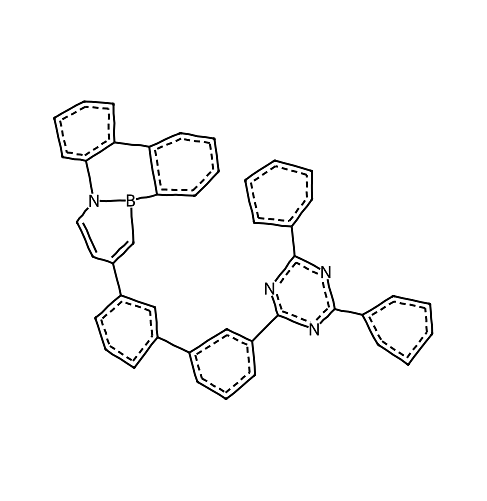 C1=CN2B(C=C1c1cccc(-c3cccc(-c4nc(-c5ccccc5)nc(-c5ccccc5)n4)c3)c1)c1ccccc1-c1ccccc12